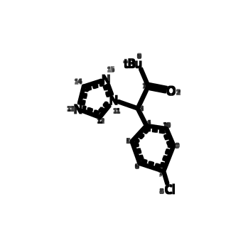 CC(C)(C)C(=O)C(c1ccc(Cl)cc1)n1cncn1